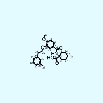 COc1ccc(C(=O)N[C@]2(C(=O)O)CC[C@H](C)CC2)cc1OCCc1cccc(C)c1